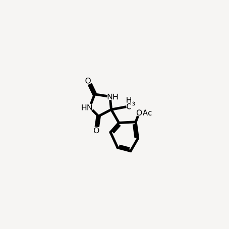 CC(=O)Oc1ccccc1C1(C)NC(=O)NC1=O